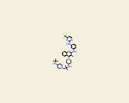 Cc1c(Nc2cccc(Nc3nccc(C(F)(F)F)n3)c2)nc2ccccc2c1N1CCC(NC(C)(C)CN2CCC(NC(C)(C)C)CC2)CC1